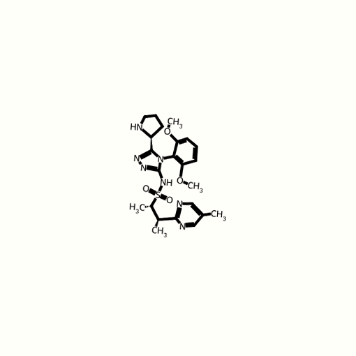 COc1cccc(OC)c1-n1c(NS(=O)(=O)[C@@H](C)[C@H](C)c2ncc(C)cn2)nnc1[C@@H]1CCCN1